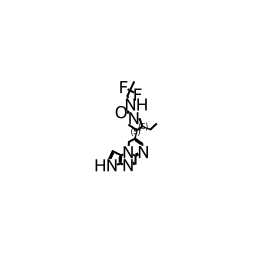 CC[C@@H]1CN(C(=O)NCC(C)(F)F)C[C@@H]1C1=CN=C2C=Nc3[nH]ccc3N2C1